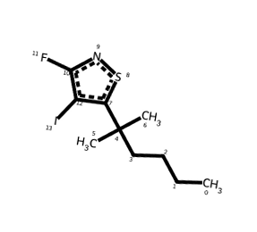 CCCCC(C)(C)c1snc(F)c1I